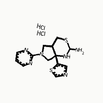 Cl.Cl.NC1NC2(c3cncs3)CN(c3ncccn3)CC2CS1